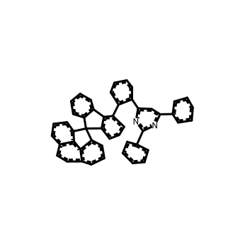 c1ccc(-c2cc(-c3ccccc3-c3cccc4c3-c3ccccc3C43c4cccc5ccc6cccc3c6c45)nc(-c3ccccc3)n2)cc1